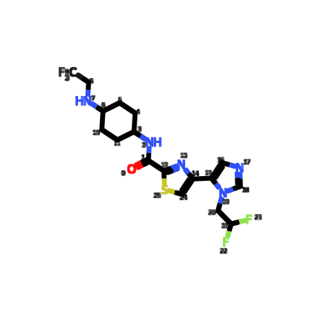 O=C(NC1CCC(NCC(F)(F)F)CC1)c1nc(-c2cncn2CC(F)F)cs1